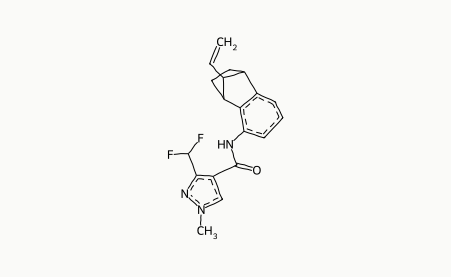 C=CC1C2CCC1c1c(NC(=O)c3cn(C)nc3C(F)F)cccc12